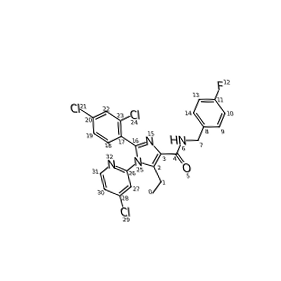 CCc1c(C(=O)NCc2ccc(F)cc2)nc(-c2ccc(Cl)cc2Cl)n1-c1cc(Cl)ccn1